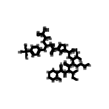 CCC(C)C(NC(=O)C1CCCCN1C)C(=O)N(CCOC)C(CC(O)c1nc(C(=O)NC(Cc2ccc(C(F)(F)F)cc2)CC(C)C(=O)O)cs1)C(C)C